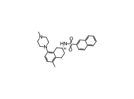 Cc1ccc(N2CCN(C)CC2)c2c1CC[C@@H](NS(=O)(=O)c1ccc3ccccc3c1)C2